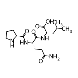 CC(C)C[C@H](NC(=O)[C@H](CCC(N)=O)NC(=O)[C@@H]1CCCN1)C(=O)O